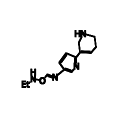 CCNOC=Nc1ccc(C2=CCCNC2)nc1